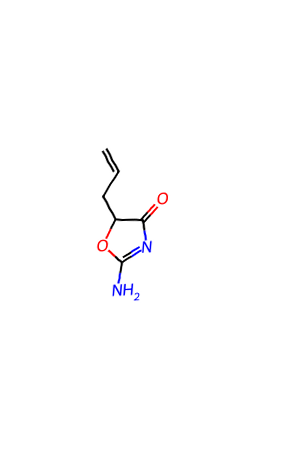 C=CCC1OC(N)=NC1=O